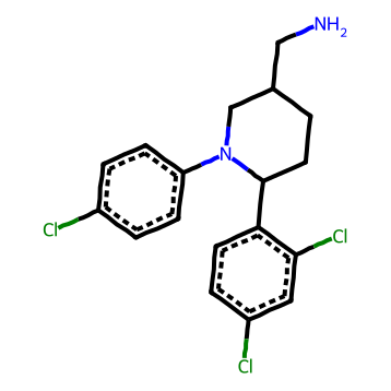 NCC1CCC(c2ccc(Cl)cc2Cl)N(c2ccc(Cl)cc2)C1